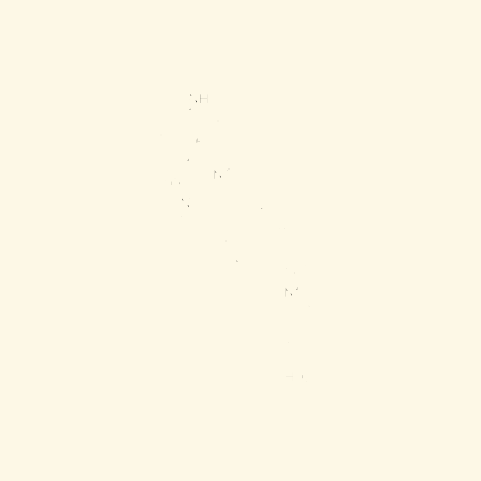 CCCCNC(=O)c1ccc(-c2noc([C@@H]3CCNC3)n2)cc1